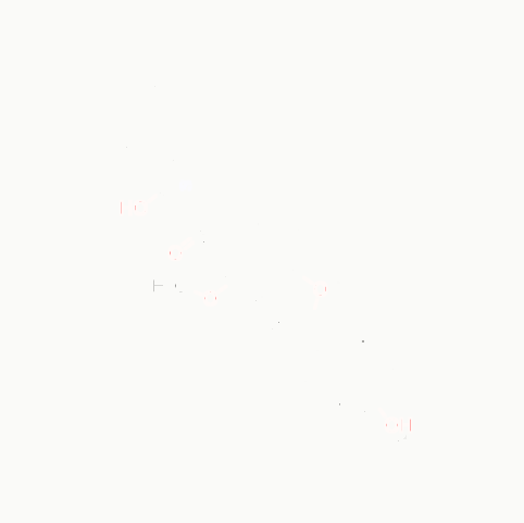 COc1c(C(=O)/C=C(\O)c2ccccc2)ccc2oc(-c3ccc(O)cc3)cc12